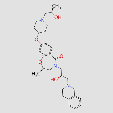 C[C@@H]1CN(C[C@H](O)CN2CCc3ccccc3C2)C(=O)c2ccc(OC3CCN(C[C@@H](C)O)CC3)cc2O1